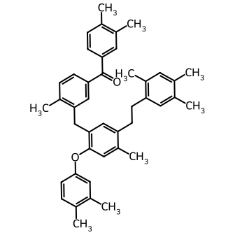 Cc1ccc(Oc2cc(C)c(CCc3cc(C)c(C)cc3C)cc2Cc2cc(C(=O)c3ccc(C)c(C)c3)ccc2C)cc1C